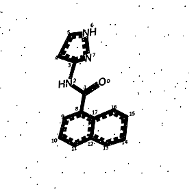 O=C(Nc1cc[nH]n1)c1cccc2ccccc12